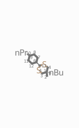 CCCC[C@]1(C)CS[C@@H](C2CCC(CCC)CC2)SC1